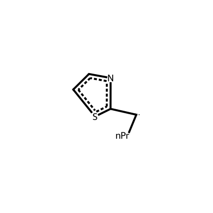 CCC[CH]c1nccs1